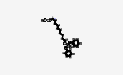 CCCCCCCC/C=C\CCCCCCCCOP(=O)(Oc1ccccc1)Oc1ccccc1